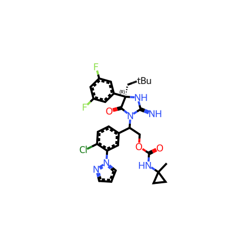 CC(C)(C)C[C@]1(c2cc(F)cc(F)c2)NC(=N)N(C(COC(=O)NC2(C)CC2)c2ccc(Cl)c(-n3cccn3)c2)C1=O